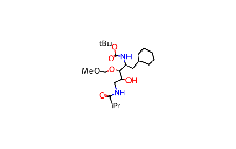 COCO[C@@H](C(O)CNC(=O)C(C)C)[C@H](CC1CCCCC1)NC(=O)OC(C)(C)C